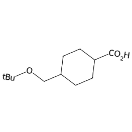 CC(C)(C)OCC1CCC(C(=O)O)CC1